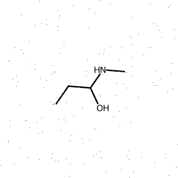 [CH2]CC(O)NC